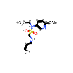 CC/C=C\C=N/CS(=O)(=O)N(CC(=O)O)c1ccc(OC)nc1